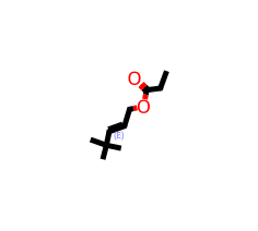 CCC(=O)OC/C=C/C(C)(C)C